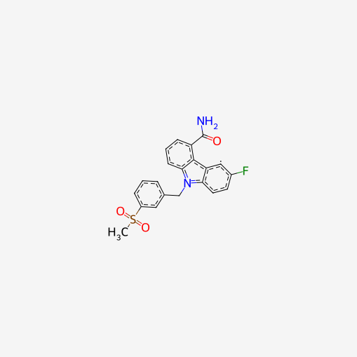 CS(=O)(=O)c1cccc(Cn2c3ccc(F)[c]c3c3c(C(N)=O)cccc32)c1